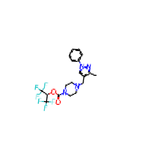 Cc1nn(-c2ccccc2)cc1CN1CCN(C(=O)OC(C(F)(F)F)C(F)(F)F)CC1